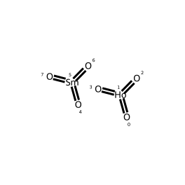 [O]=[Ho](=[O])=[O].[O]=[Sm](=[O])=[O]